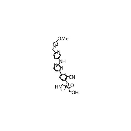 COC1CN(Cc2ccc(Nc3nccc(-c4ccc(O[C@]5(C(=O)CO)CCNC5)c(C#N)c4)n3)cn2)C1